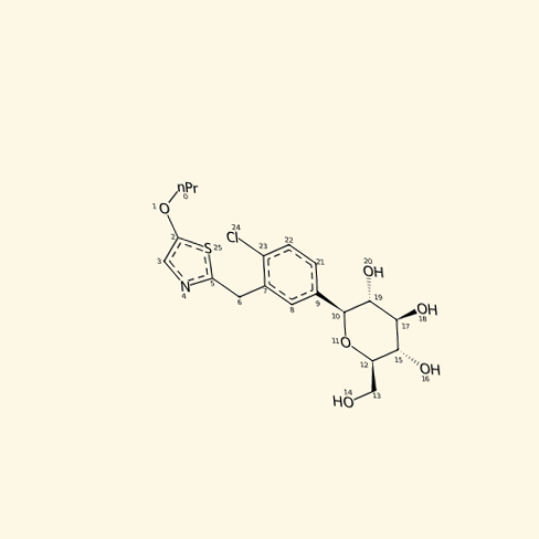 CCCOc1cnc(Cc2cc([C@@H]3O[C@H](CO)[C@@H](O)[C@H](O)[C@H]3O)ccc2Cl)s1